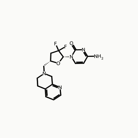 Nc1ccn([C@@H]2O[C@H](CN3CCc4cccnc4C3)CC2(F)F)c(=O)n1